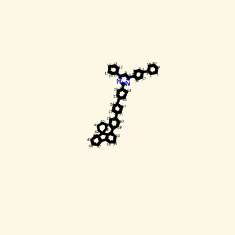 c1ccc(-c2ccc(-c3cc(-c4ccccc4)nc(-c4ccc(-c5ccc(-c6ccc(-c7cccc8c7C7(CCCCC7)c7ccccc7-8)cc6)cc5)cc4)n3)cc2)cc1